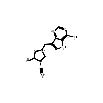 C#C[C@H]1CN(Cc2c[nH]c3c(N)ncnc23)CC1O